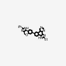 CCc1nc2c3ncncc3c3cc(-c4ccc5c(c4)OCc4nc(C(C)C)[nH]c4-5)ccc3c2[nH]1